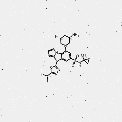 CC1(NS(=O)(=O)c2cc(N3C[C@H](N)C[C@@H](F)C3)c3c(c2)n(-c2nnc(C(F)F)s2)c2nccn32)CC1